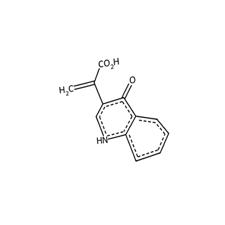 C=C(C(=O)O)c1c[nH]c2ccccc2c1=O